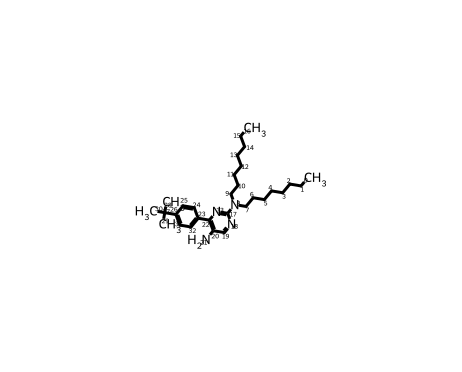 CCCCCCCCN(CCCCCCCC)c1ncc(N)c(-c2ccc(C(C)(C)C)cc2)n1